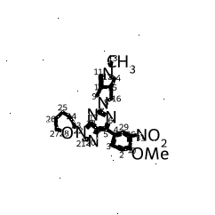 COc1ccc(-c2nc(N3CC4=CN(C)CC4C3)nc3c2ncn3C2CCCCO2)cc1[N+](=O)[O-]